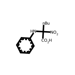 CCCCC(Nc1ccccc1)(C(=O)O)[N+](=O)[O-]